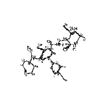 CCN(c1cc(-c2ccc(C)cc2)cc(C(=O)NCC2C(=O)NC(C)C=C2C)c1C)C1CCOCC1